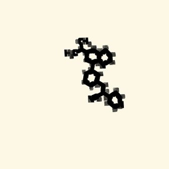 CC(C)c1cc(-c2cccc(C=C(C#N)c3ccncc3)c2)c2ncccc2c1